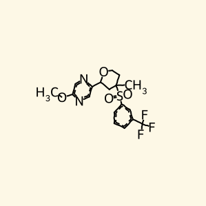 COc1cnc(C2CC(C)(S(=O)(=O)c3cccc(C(F)(F)F)c3)CCO2)cn1